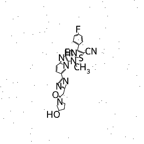 CCc1nc2ccc(-c3cnc(CC(=O)N4CC[C@H](O)C4)cn3)cn2c1N(C)C1NC(c2ccc(F)cc2)=C(C#N)S1